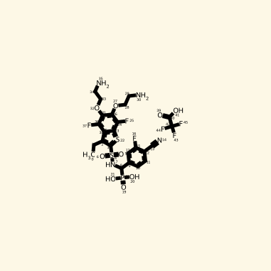 CCc1c(S(=O)(=O)NC(c2ccc(C#N)c(F)c2)P(=O)(O)O)sc2c(F)c(OCCN)c(OCCN)c(F)c12.O=C(O)C(F)(F)F